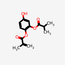 C=C(C)C(=O)Oc1ccc(O)cc1OC(=O)C(C)C